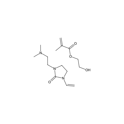 C=C(C)C(=O)OCCO.C=CN1CCN(CCN(C)C)C1=O